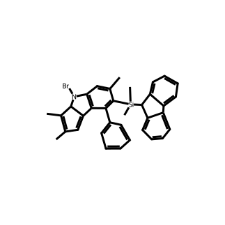 CC1=C(C)C2C(=C1)c1c(cc(C)c([Si](C)(C)C3c4ccccc4-c4ccccc43)c1-c1ccccc1)N2Br